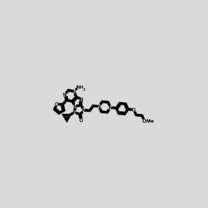 COCCOc1ccc(N2CCN(CCn3c(=O)n(C4CC4)n4c5c(nc34)N(N)CN=C5c3ccco3)CC2)cc1